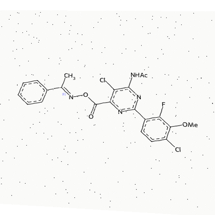 COc1c(Cl)ccc(-c2nc(NC(C)=O)c(Cl)c(C(=O)O/N=C(\C)c3ccccc3)n2)c1F